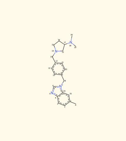 Cc1ccc2ncn(Cc3ccc(CN4CCC(N(C)C)C4)cc3)c2c1